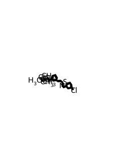 CC(C)(C)[Si](C)(C)OCc1cccc(/C=C/C2=NC=C3CC(Cl)=CC=C3S2)c1